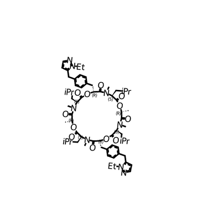 CCn1nccc1Cc1ccc(C[C@H]2OC(=O)[C@H](CC(C)C)N(C)C(=O)[C@@H](C)OC(=O)[C@H](CC(C)C)N(C)C(=O)[C@@H](Cc3ccc(Cc4ccnn4CC)cc3)OC(=O)[C@H](CC(C)C)N(C)C(=O)[C@@H](C)OC(=O)[C@H](CC(C)C)N(C)C2=O)cc1